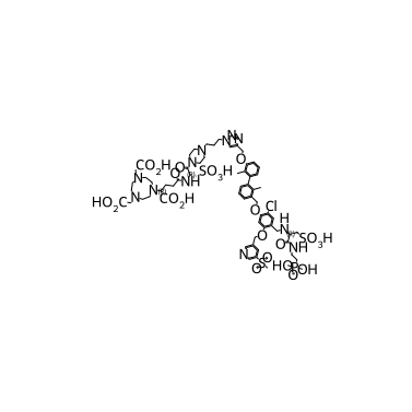 Cc1c(COc2cc(OCc3cncc(S(C)(=O)=O)c3)c(CN[C@@H](CS(=O)(=O)O)C(=O)NCCP(=O)(O)O)cc2Cl)cccc1-c1cccc(OCc2cn(CCCN3CCN(C(=O)[C@H](CS(=O)(=O)O)NC(=O)CC[C@H](C(=O)O)N4CCN(CC(=O)O)CCN(CC(=O)O)CC4)CC3)nn2)c1C